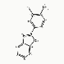 Nc1ccc(-c2nc3ccccc3o2)cc1I